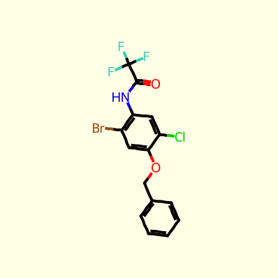 O=C(Nc1cc(Cl)c(OCc2ccccc2)cc1Br)C(F)(F)F